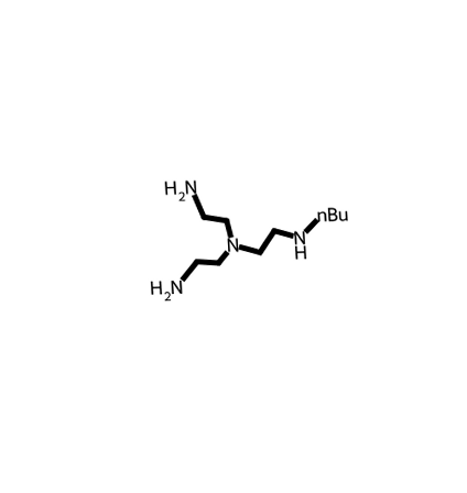 CCCCNCCN(CCN)CCN